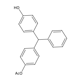 CC(=O)Oc1ccc(C(c2ccccc2)c2ccc(O)cc2)cc1